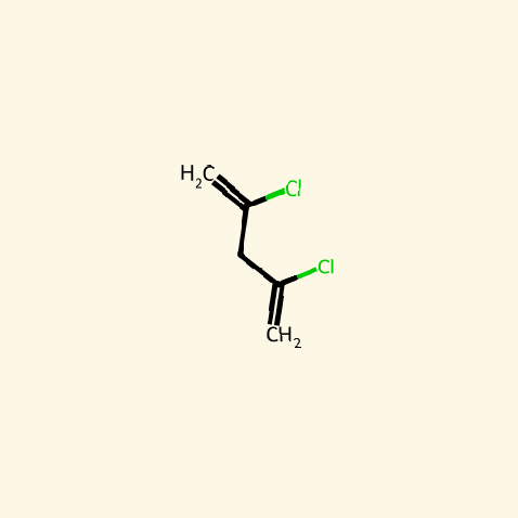 C=C(Cl)CC(=C)Cl